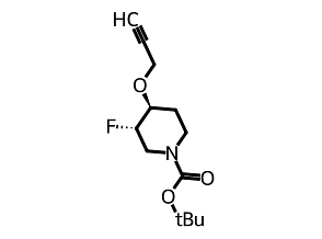 C#CCO[C@H]1CCN(C(=O)OC(C)(C)C)C[C@@H]1F